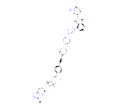 CC1(C)[C@H](NC(=O)c2ccc(C#CC3CCN(C4CCN(C(=O)CNc5cccc6c5C(=O)N(C5CCC(=O)NC5=O)C6=O)CC4)CC3)cc2)C(C)(C)[C@H]1OC1=Nn2c(nnc2C(F)(F)F)CC1